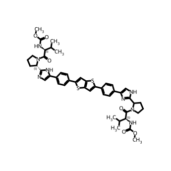 COC(=O)N[C@H](C(=O)N1CCCC1c1nc(-c2ccc(-c3cc4sc(-c5ccc(-c6cnc([C@@H]7CCCN7C(=O)[C@@H](NC(=O)OC)C(C)C)[nH]6)cc5)cc4s3)cc2)c[nH]1)C(C)C